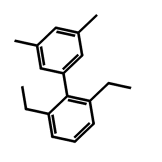 CCc1cccc(CC)c1-c1cc(C)cc(C)c1